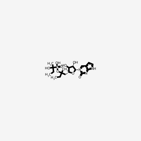 CCC(C)(C[C@H]1O[C@@H](n2cc3cc[nH]c3nc2=O)[C@@H](O)C1O)OP(=O)(O)C(C)(O)CC